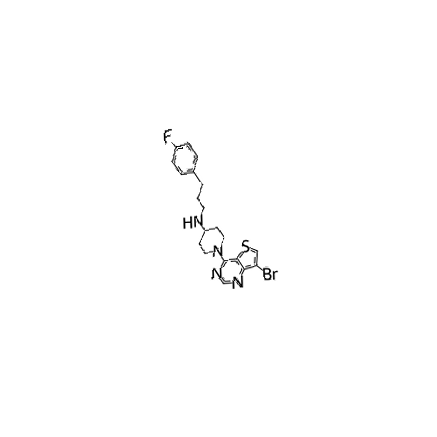 Fc1ccc(CCCNC2CCN(c3ncnc4c(Br)csc34)CC2)cc1